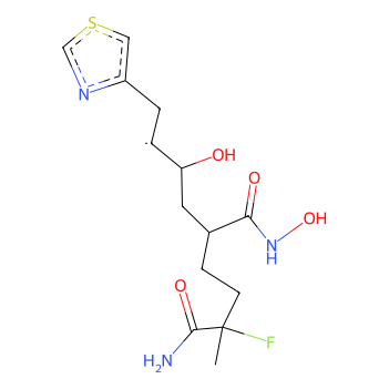 CC(F)(CCC(CC(O)[CH]Cc1cscn1)C(=O)NO)C(N)=O